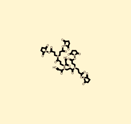 C#CC(=O)N(CCC(=O)N(CCC(=O)ON1C(=O)CCC1=O)CCC(=O)ON1C(=O)CCC1=O)N(CCC(=O)N(CCC(=O)ON1C(=O)CCC1=O)CCC(=O)ON1C(=O)CCC1=O)C(=O)C#C